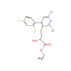 CCOC(=O)C(O)CCc1c(-c2ccc(F)cc2F)cc(Cl)nc1Cl